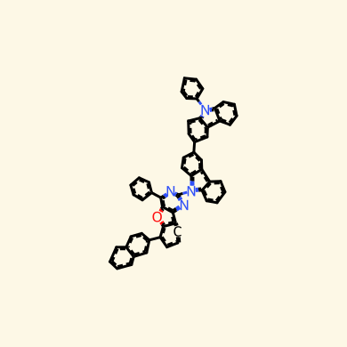 c1ccc(-c2nc(-n3c4ccccc4c4cc(-c5ccc6c(c5)c5ccccc5n6-c5ccccc5)ccc43)nc3c2oc2c(-c4ccc5ccccc5c4)cccc23)cc1